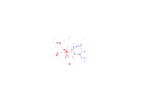 CC=COP(=O)(O)OP(=O)(O)OP(=O)(O)Oc1c[nH]c(=O)nc1N